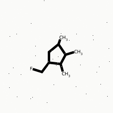 CC1CC(CF)C(C)C1C